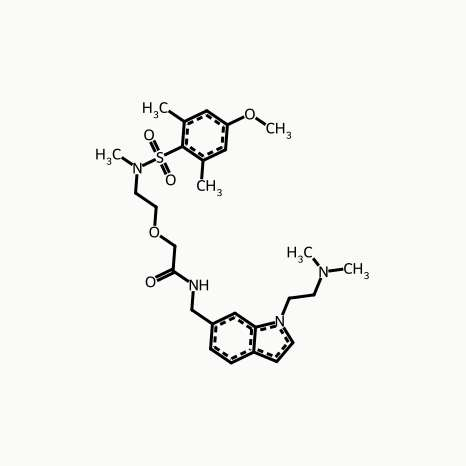 COc1cc(C)c(S(=O)(=O)N(C)CCOCC(=O)NCc2ccc3ccn(CCN(C)C)c3c2)c(C)c1